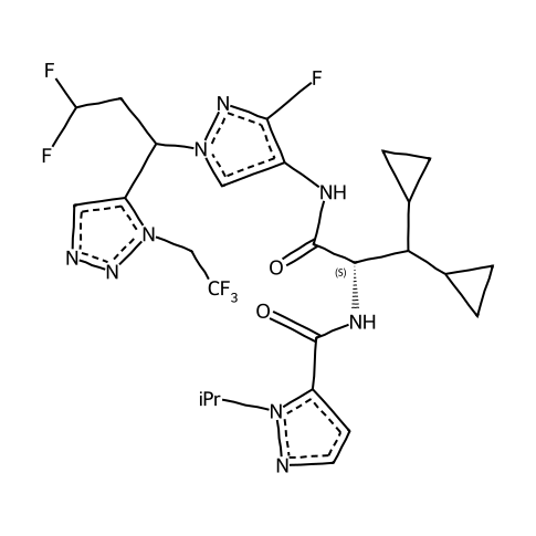 CC(C)n1nccc1C(=O)N[C@H](C(=O)Nc1cn(C(CC(F)F)c2cnnn2CC(F)(F)F)nc1F)C(C1CC1)C1CC1